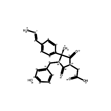 C[C@@]1(c2ccc(C=NN)cc2)C(=O)N(CC(=O)O)C(=O)N1Cc1ccccc1.Cl